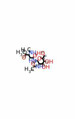 CNC(CC(=O)NC1OC(CO)C(O)C(O)C1NC(C)=O)C(C)=O